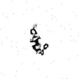 OC1CCN(c2ncc(-c3ccc4nc5n(c4n3)[C@@H](c3ccccc3)CC5)cn2)CC1